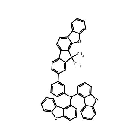 CC1(C)c2cc(-c3cccc(N(c4cccc5oc6ccccc6c45)c4cccc5oc6ccccc6c45)c3)ccc2-c2ccc3c(oc4ccccc43)c21